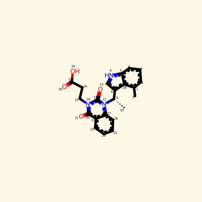 Cc1cccc2[nH]cc([C@H](C)n3c(=O)n(CCC(=O)O)c(=O)c4ccccc43)c12